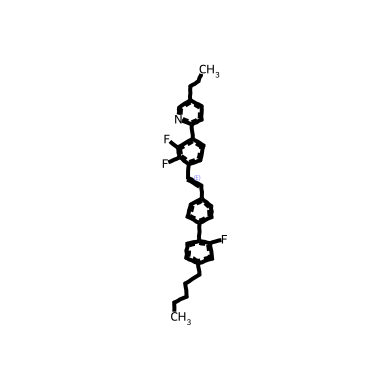 CCCCCc1ccc(-c2ccc(/C=C/c3ccc(-c4ccc(CCC)cn4)c(F)c3F)cc2)c(F)c1